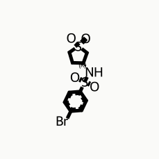 O=S1(=O)CC[C@@H](NS(=O)(=O)c2ccc(Br)cc2)C1